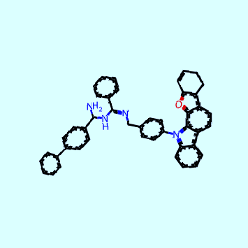 NC(N/C(=N\Cc1ccc(-n2c3ccccc3c3ccc4c5c(oc4c32)C=CCC5)cc1)c1ccccc1)c1ccc(-c2ccccc2)cc1